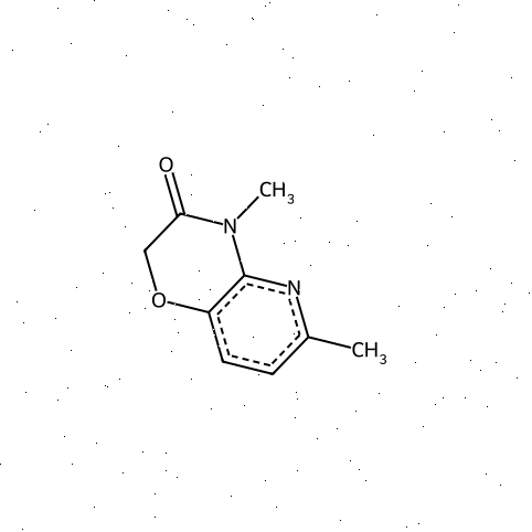 Cc1ccc2c(n1)N(C)C(=O)CO2